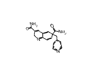 NC(=O)C1=CC2=CC(Cc3ccncc3)(C(N)=O)C=CC2=NC1